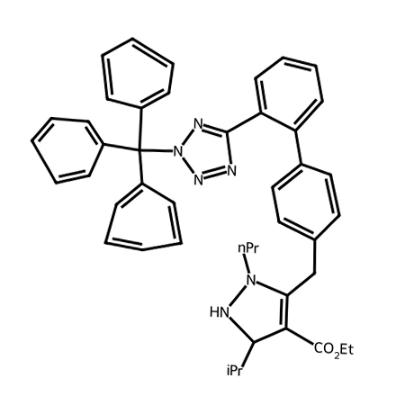 CCCN1NC(C(C)C)C(C(=O)OCC)=C1Cc1ccc(-c2ccccc2-c2nnn(C(c3ccccc3)(c3ccccc3)c3ccccc3)n2)cc1